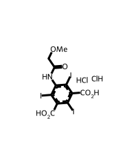 COCC(=O)Nc1c(I)c(C(=O)O)c(I)c(C(=O)O)c1I.Cl.Cl